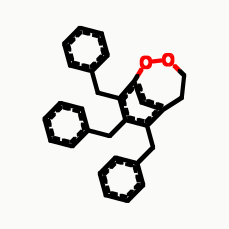 c1ccc(Cc2c3cc(c(Cc4ccccc4)c2Cc2ccccc2)OOCC3)cc1